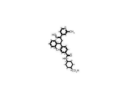 Cc1cc(/C(CC(c2ccc(C(=O)NC3CCC(C(=O)O)CC3)cc2)c2ccccc2C)=N\O)ccn1